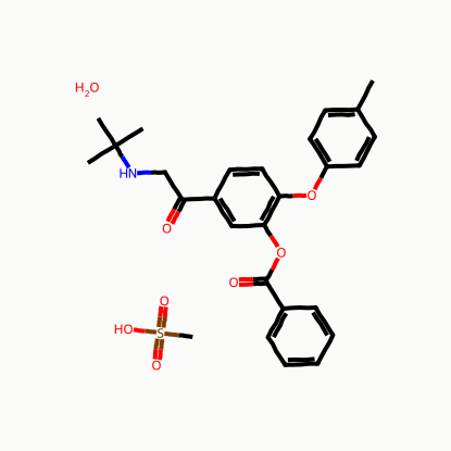 CS(=O)(=O)O.Cc1ccc(Oc2ccc(C(=O)CNC(C)(C)C)cc2OC(=O)c2ccccc2)cc1.O